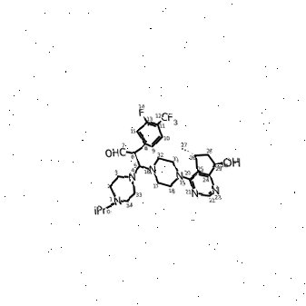 CC(C)N1CCN(C(C(C=O)c2ccc(C(F)(F)F)c(F)c2)N2CCN(c3ncnc4c3[C@H](C)C[C@H]4O)CC2)CC1